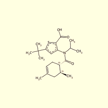 CC1=CC[C@H](C(=O)N(c2cc(C(C)(C)C)sc2C(=O)O)C(C)C)[C@@H](C)C1